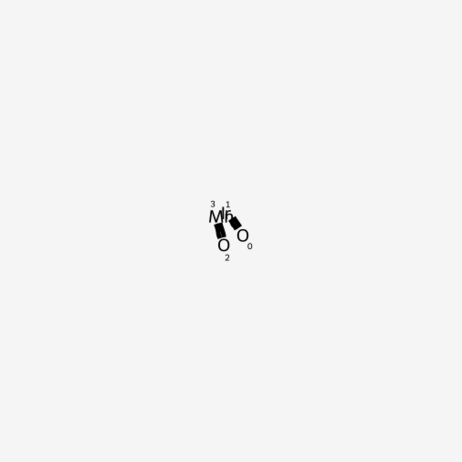 [O]=[Ir].[O]=[Mn]